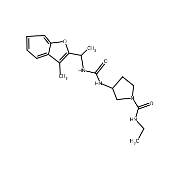 CCNC(=O)N1CCC(NC(=O)NC(C)c2oc3ccccc3c2C)C1